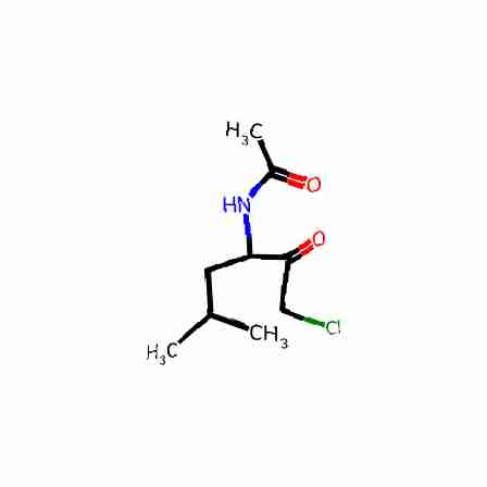 CC(=O)NC(CC(C)C)C(=O)CCl